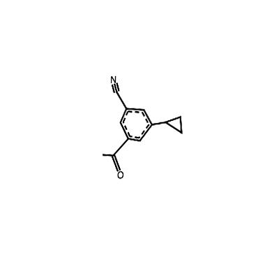 CC(=O)c1cc(C#N)cc(C2CC2)c1